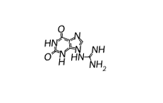 N=C(N)Nn1cnc2c(=O)[nH]c(=O)[nH]c21